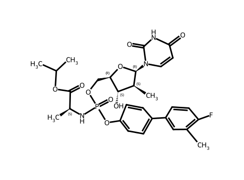 Cc1cc(-c2ccc(OP(=O)(N[C@@H](C)C(=O)OC(C)C)OC[C@H]3O[C@@H](n4ccc(=O)[nH]c4=O)[C@@H](C)[C@@H]3O)cc2)ccc1F